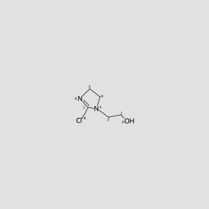 OCCN1CCN=C1Cl